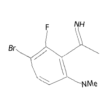 CNc1ccc(Br)c(F)c1C(C)=N